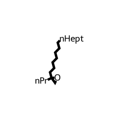 CCCCCCCCCCCCCCC1(CCC)CO1